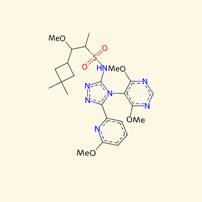 COc1cccc(-c2nnc(NS(=O)(=O)C(C)C(OC)C3CC(C)(C)C3)n2-c2c(OC)ncnc2OC)n1